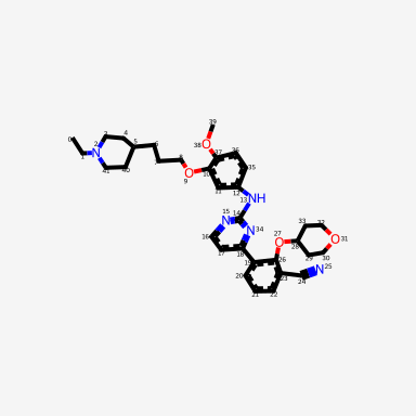 CCN1CCC(CCCOc2cc(Nc3nccc(-c4cccc(C#N)c4OC4CCOCC4)n3)ccc2OC)CC1